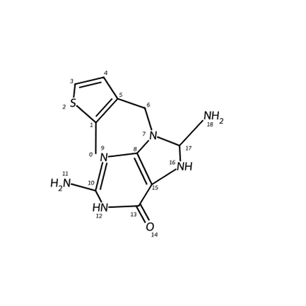 Cc1sccc1CN1c2nc(N)[nH]c(=O)c2NC1N